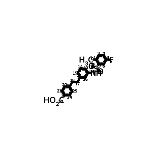 Cc1ccc(F)cc1S(=O)(=O)Nc1cccc(CCc2ccc(C(=O)O)cc2)c1